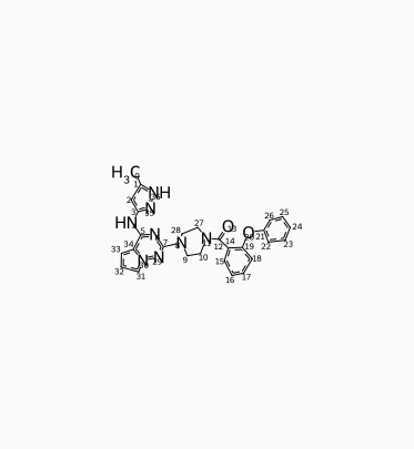 Cc1cc(Nc2nc(N3CCN(C(=O)c4ccccc4Oc4ccccc4)CC3)nn3cccc23)n[nH]1